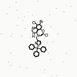 ClC1=CN(Cc2ccn(C(c3ccccc3)(c3ccccc3)c3ccccc3)n2)C2=c3c(cc(Br)c(Cl)c3=NCN2)O1